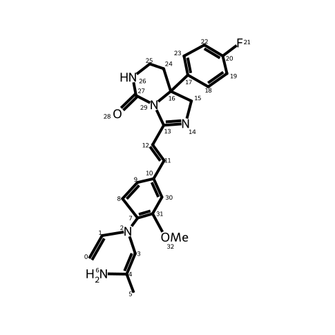 C=CN(/C=C(/C)N)c1ccc(/C=C/C2=NCC3(c4ccc(F)cc4)CCNC(=O)N23)cc1OC